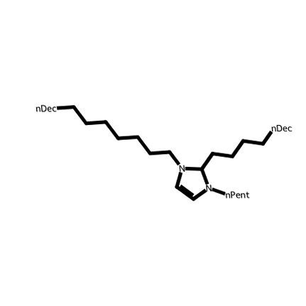 CCCCCCCCCCCCCCCCCN1C=CN(CCCCC)C1CCCCCCCCCCCCCC